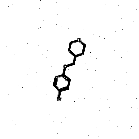 Brc1ccc(OCC2CCOCC2)cc1